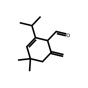 C=C1CC(C)(C)C=C(C(C)C)C1C=O